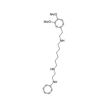 COc1ccc(CCNCCCCCCNCCNc2ccccc2)cc1OC